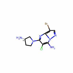 Nc1c(Cl)c(N2CC[C@H](N)C2)nc2c(Br)cnn12